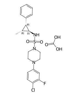 C[C@H]1[C@H](NS(=O)(=O)N2CCN(c3ccc(Cl)c(F)c3)CC2)[C@H]1c1ccccc1.O=C(O)O